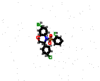 O=S(=O)(c1ccccc1F)N1c2ccc(Br)cc2OCC1c1ccc(Cl)cc1